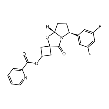 O=C(OC1CC2(C1)O[C@@H]1CC[C@@H](c3cc(F)cc(F)c3)N1C2=O)c1ccccn1